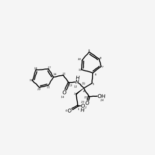 O=C(O)C[C@](Cc1ccccc1)(NC(=O)Cc1ccccc1)C(=O)O